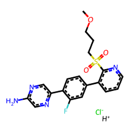 COCCCS(=O)(=O)c1ncccc1-c1ccc(-c2cnc(N)cn2)c(F)c1.[Cl-].[H+]